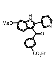 CCOC(=O)c1cccc(C(=O)c2c(-c3cccnc3)[nH]c3cc(OC)ccc23)c1